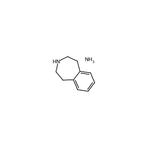 N.c1ccc2c(c1)CCNCC2